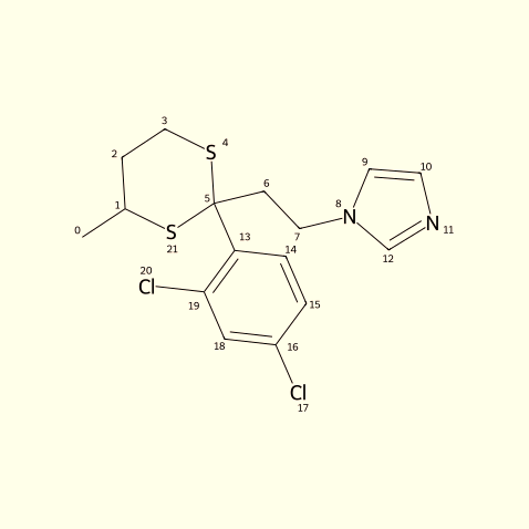 CC1CCSC(CCn2ccnc2)(c2ccc(Cl)cc2Cl)S1